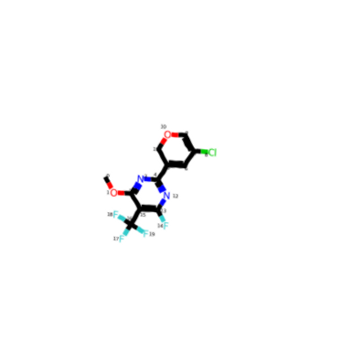 COc1nc(C2=CC(Cl)=COC2)nc(F)c1C(F)(F)F